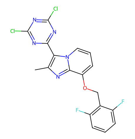 Cc1nc2c(OCc3c(F)cccc3F)cccn2c1-c1nc(Cl)nc(Cl)n1